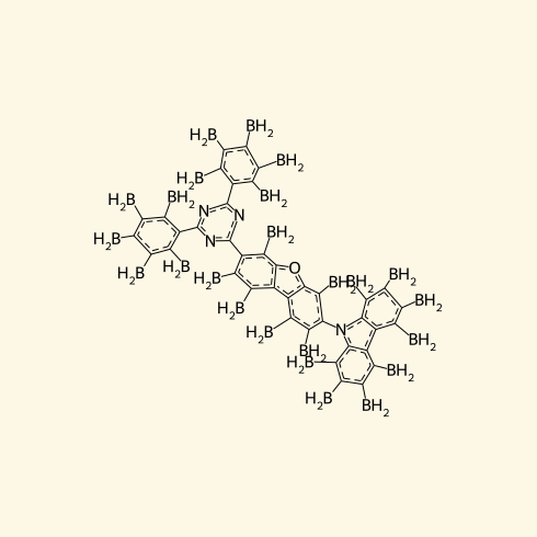 Bc1c(B)c(B)c(-c2nc(-c3c(B)c(B)c(B)c(B)c3B)nc(-c3c(B)c(B)c4c(oc5c(B)c(-n6c7c(B)c(B)c(B)c(B)c7c7c(B)c(B)c(B)c(B)c76)c(B)c(B)c54)c3B)n2)c(B)c1B